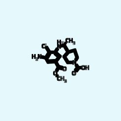 COC(=O)c1cc(N)c(Cl)c(N[C@@H](C)C2CCN(C(=O)O)CC2)c1